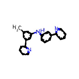 Cc1cc(Nc2cccc(-c3ccccn3)c2)cc(-c2ccccn2)c1